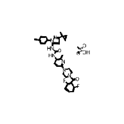 CS(=O)(=O)O.Cc1ccc(-n2nc(C3(C)CC3)cc2NC(=O)Nc2ccc(N3CCN(C(=O)c4c(F)cccc4F)CC3)nc2C)cc1